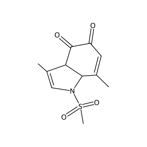 CC1=CN(S(C)(=O)=O)C2C(C)=CC(=O)C(=O)C12